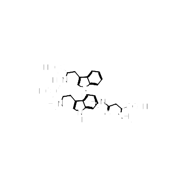 NC(=O)C[C@H](N)C(=O)O.N[C@@H](Cc1c[nH]c2ccccc12)C(=O)O.N[C@@H](Cc1c[nH]c2ccccc12)C(=O)O